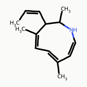 C/C=C\C1\C(C)=C/C=C(C)/C=C\NC1C